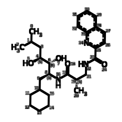 CC(C)C[C@H](O)[C@H](O)[C@H](CC1CCCCC1)NC(=O)[C@@H](C)CNC(=O)c1ccc2ccccc2n1